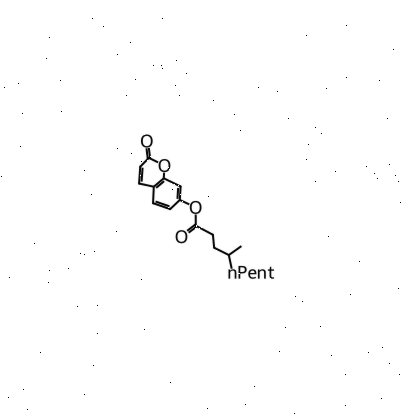 CCCCCC(C)CCC(=O)Oc1ccc2ccc(=O)oc2c1